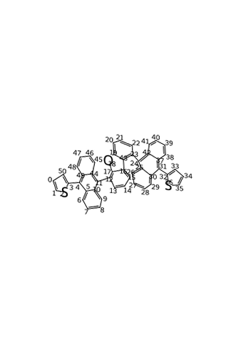 c1csc(-c2c3ccccc3c(-c3cccc4c3oc3cccc(-c5c6ccccc6c(-c6cccs6)c6ccccc56)c34)c3ccccc23)c1